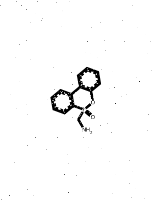 NCP1(=O)Oc2ccccc2-c2ccccc21